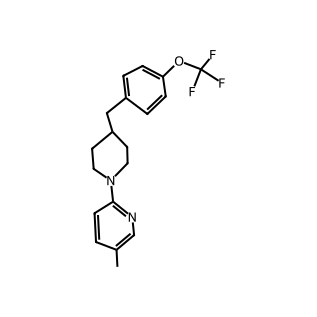 Cc1ccc(N2CCC(Cc3ccc(OC(F)(F)F)cc3)CC2)nc1